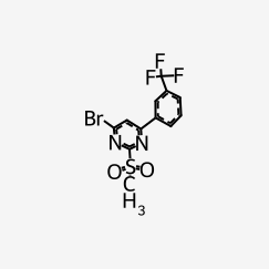 CS(=O)(=O)c1nc(Br)cc(-c2cccc(C(F)(F)F)c2)n1